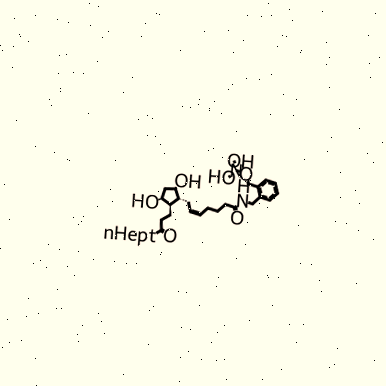 CCCCCCCC(=O)CC[C@@H]1[C@@H](C/C=C\CCCC(=O)NCc2ccccc2CON(O)O)[C@@H](O)C[C@H]1O